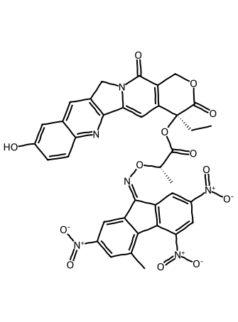 CC[C@@]1(OC(=O)[C@H](C)O/N=C2/c3cc([N+](=O)[O-])cc(C)c3-c3c2cc([N+](=O)[O-])cc3[N+](=O)[O-])C(=O)OCc2c1cc1n(c2=O)Cc2cc3cc(O)ccc3nc2-1